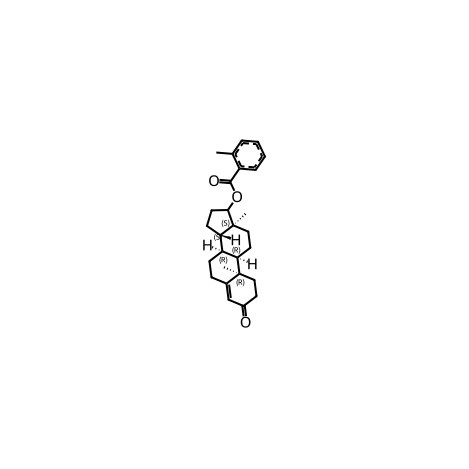 Cc1ccccc1C(=O)OC1CC[C@H]2[C@@H]3CCC4=CC(=O)CC[C@]4(C)[C@@H]3CC[C@]12C